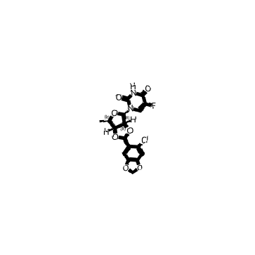 C[C@H]1O[C@@H](n2cc(F)c(=O)[nH]c2=O)[C@@H]2OC(c3cc4c(cc3Cl)OCO4)O[C@@H]21